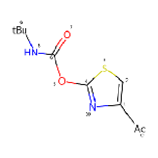 CC(=O)c1csc(OC(=O)NC(C)(C)C)n1